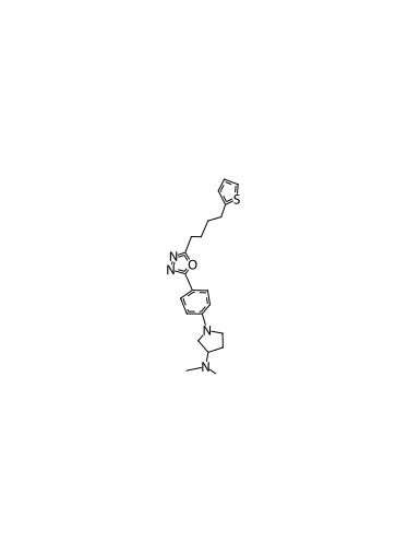 CN(C)C1CCN(c2ccc(-c3nnc(CCCCc4cccs4)o3)cc2)C1